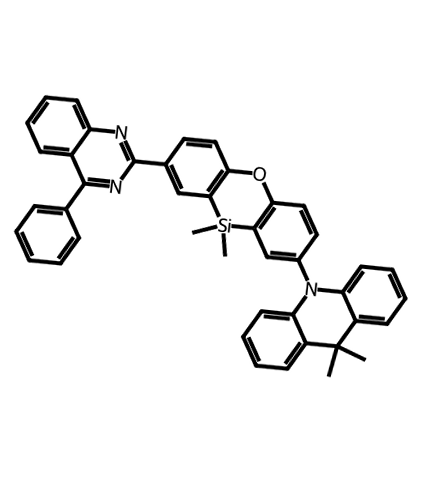 CC1(C)c2ccccc2N(c2ccc3c(c2)[Si](C)(C)c2cc(-c4nc(-c5ccccc5)c5ccccc5n4)ccc2O3)c2ccccc21